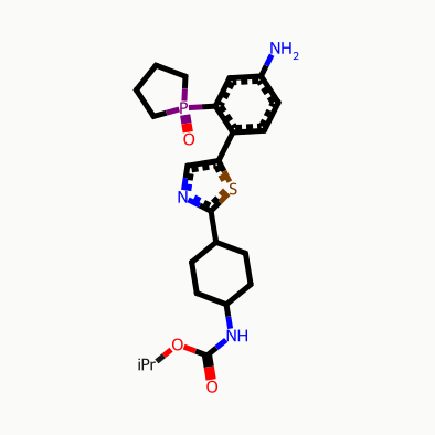 CC(C)OC(=O)NC1CCC(c2ncc(-c3ccc(N)cc3P3(=O)CCCC3)s2)CC1